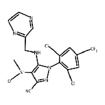 C[S+]([O-])c1c(C#N)nn(-c2c(Cl)cc(C(F)(F)F)cc2Cl)c1NCc1cnccn1